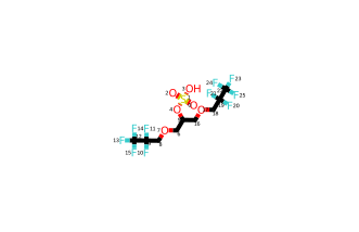 O=S(=O)(O)OC(COCC(F)(F)C(F)(F)F)COCC(F)(F)C(F)(F)F